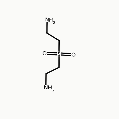 NCCS(=O)(=O)CCN